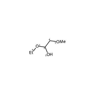 CCOC(O)COC